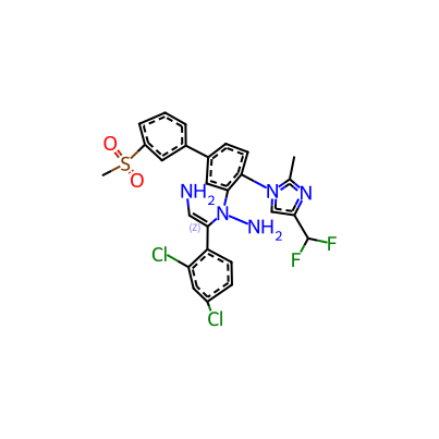 Cc1nc(C(F)F)cn1-c1ccc(-c2cccc(S(C)(=O)=O)c2)cc1N(N)/C(=C\N)c1ccc(Cl)cc1Cl